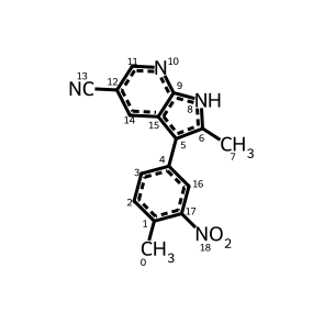 Cc1ccc(-c2c(C)[nH]c3ncc(C#N)cc23)cc1[N+](=O)[O-]